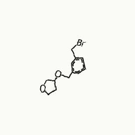 BrCc1cccc(CO[C@H]2CCOC2)c1